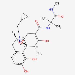 C[C@H]1C(O)=C(C(=O)NC(C)(C)C(=O)NC#N)C[C@@]2(O)[C@H]3Cc4ccc(O)c(O)c4[C@@]12CCN3CC1CC1